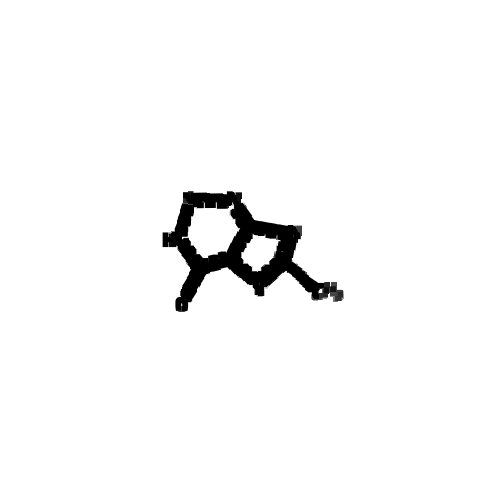 Cc1nc2nn[nH]c(=O)c2s1